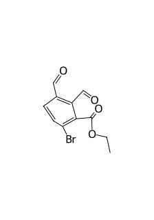 CCOC(=O)c1c(Br)ccc(C=O)c1C=O